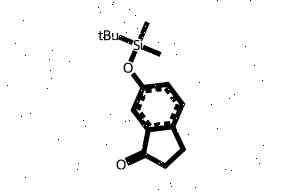 CC(C)(C)[Si](C)(C)Oc1ccc2c(c1)C(=O)CC2